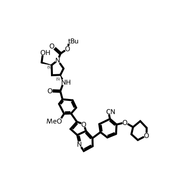 COc1cc(C(=O)N[C@H]2C[C@@H](CO)N(C(=O)OC(C)(C)C)C2)ccc1-c1cc2nccc(-c3ccc(OC4CCOCC4)c(C#N)c3)c2o1